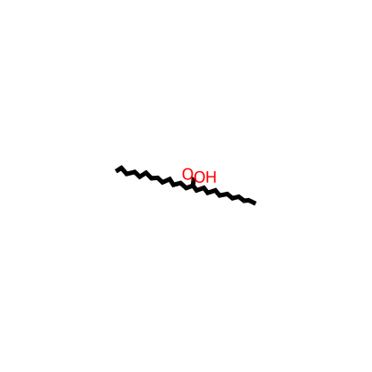 CCCCCCCCCCCCCC(CCCCCCCCCCC)C(=O)O